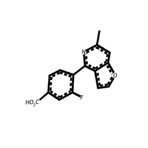 Cc1cc2occc2c(-c2ccc(C(=O)O)cc2F)n1